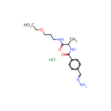 CC(NC(=O)c1ccc(C=NN)cc1)C(=O)NCCCOCC(=O)O.Cl